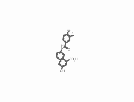 Cc1cc(C(=O)Nc2ccc3cc(O)cc(S(=O)(=O)O)c3c2)ccc1N